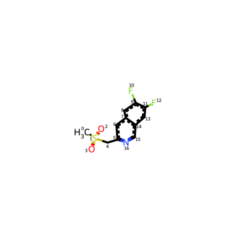 CS(=O)(=O)Cc1cc2cc(F)c(F)cc2cn1